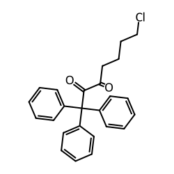 O=C(CCCCCl)C(=O)C(c1ccccc1)(c1ccccc1)c1ccccc1